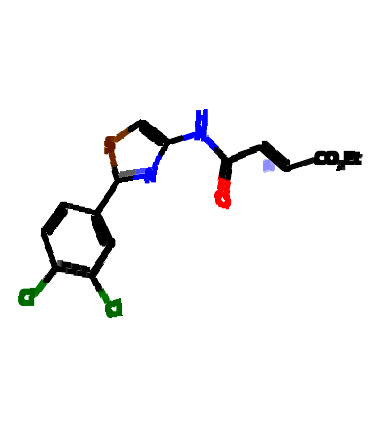 CCOC(=O)/C=C/C(=O)Nc1csc(-c2ccc(Cl)c(Cl)c2)n1